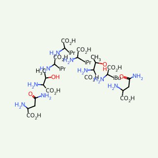 CC(C)C(N)C(=O)O.CC(C)C(N)C(=O)O.CC(C)C(N)C(=O)O.CC(O)C(N)C(=O)O.CC(O)C(N)C(=O)O.CCC(C)C(N)C(=O)O.NC(=O)CC(N)C(=O)O.NC(=O)CC(N)C(=O)O